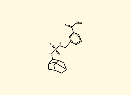 COC(=O)c1cccc(CNS(=O)(=O)NC2C3CC4CC(C3)CC2C4)c1